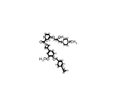 COc1cc(C2CN(C(=O)c3cc(OC[C@@H](O)CN4CCN(C)CC4)ccn3)C2)ccc1OCc1ccc(C2CC2)cc1